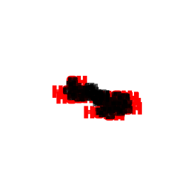 C=C1CC2C3CC1C(O[C@@H]1O[C@H](CO)[C@@H](O)C(O[C@@H]4O[C@H](CO)[C@@H](O)[C@H](O)[C@H]4O)[C@H]1O[C@@H]1O[C@H](CO)[C@@H](O)[C@H](O)[C@H]1O)[C@H](C)C2C1CCC[C@@](C)(C(=O)OC2O[C@H](CO)[C@@H](O)[C@H](O)[C@H]2O)C1C3